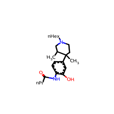 CCCCCCN1CCC(C)(c2ccc(NC(=O)CCC)c(O)c2)C(C)C1